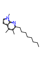 CCCCCCCCc1nc2c(ccn2C)c(C)c1C